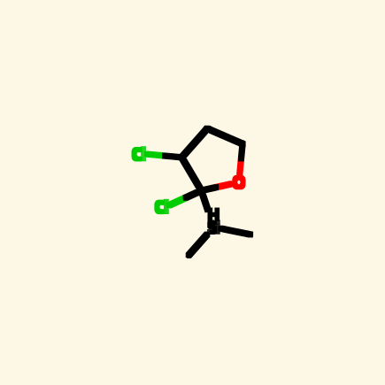 C[SiH](C)C1(Cl)OCCC1Cl